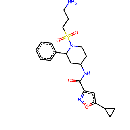 NCCCS(=O)(=O)N1CCC(NC(=O)c2cc(C3CC3)on2)C[C@H]1c1ccccc1